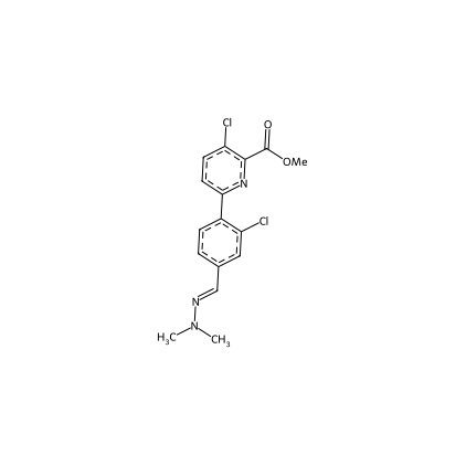 COC(=O)c1nc(-c2ccc(C=NN(C)C)cc2Cl)ccc1Cl